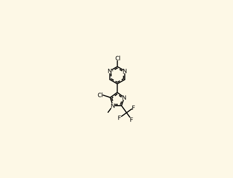 Cn1c(C(F)(F)F)nc(-c2cnc(Cl)nc2)c1Cl